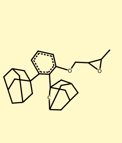 CC1OC1COc1cccc(C23CC4CC(CC(C4)C2)C3)c1C12CC3CC(CC(C3)C1)C2